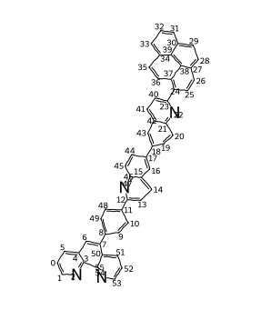 c1cnc2c(c1)cc(-c1ccc(-c3ccc4cc(-c5ccc6nc(-c7ccc8ccc9cccc%10ccc7c8c9%10)ccc6c5)ccc4n3)cc1)c1cccnc12